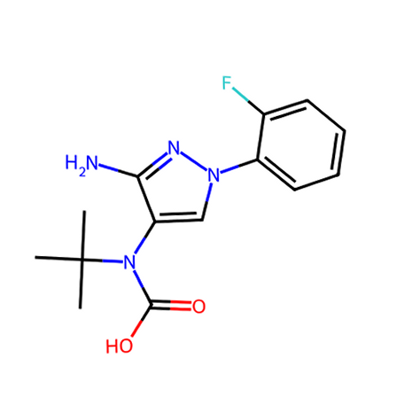 CC(C)(C)N(C(=O)O)c1cn(-c2ccccc2F)nc1N